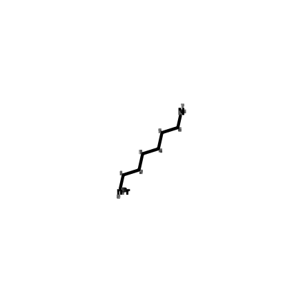 CCCCCCCCC[N]